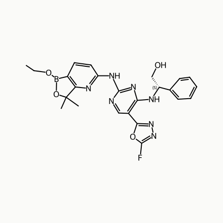 CCOB1OC(C)(C)c2nc(Nc3ncc(-c4nnc(F)o4)c(N[C@H](CO)c4ccccc4)n3)ccc21